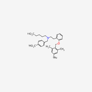 Cc1cc(C(C)(C)C)cc(C)c1COc1ccccc1CCN(CCCCC(=O)O)Cc1ccc(C(=O)O)cc1